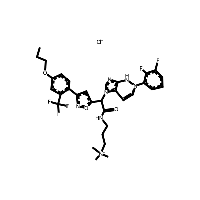 CCCOc1ccc(-c2cc(C(C(=O)NCCC[N+](C)(C)C)n3cnc4c3C=CN(c3cccc(F)c3F)N4)on2)c(C(F)(F)F)c1.[Cl-]